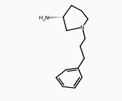 N[C@@H]1CCCN(CCCc2ccccc2)C1